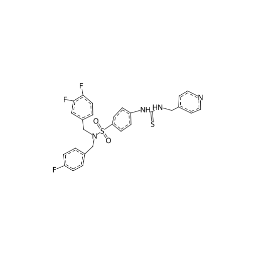 O=S(=O)(c1ccc(NC(=S)NCc2ccncc2)cc1)N(Cc1ccc(F)cc1)Cc1ccc(F)c(F)c1